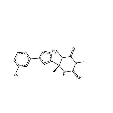 CN1C(=N)N[C@](C)(c2cc(-c3cccc(C#N)c3)cs2)C(N)C1=O